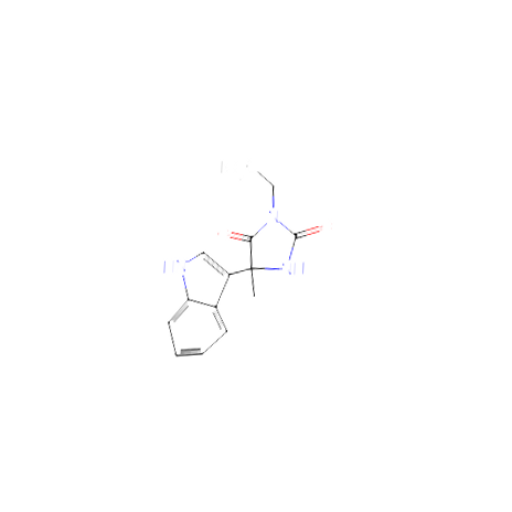 CC1(c2c[nH]c3ccccc23)NC(=O)N(CC(=O)O)C1=O